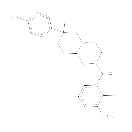 COc1cccc(C(=O)N2CCN3CC(F)(c4ccc(Cl)cc4)CCC3C2)c1Cl